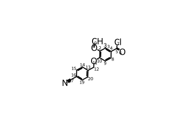 COc1cc(C(=O)Cl)ccc1OCc1ccc(C#N)cc1